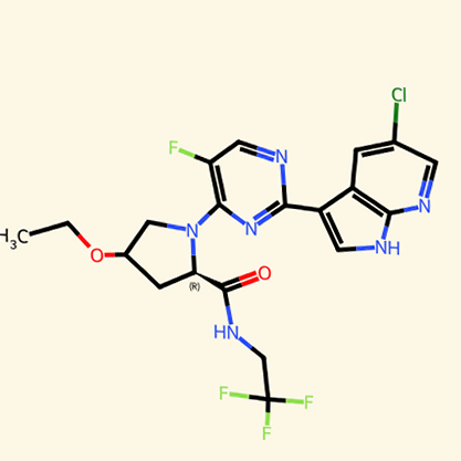 CCOC1C[C@H](C(=O)NCC(F)(F)F)N(c2nc(-c3c[nH]c4ncc(Cl)cc34)ncc2F)C1